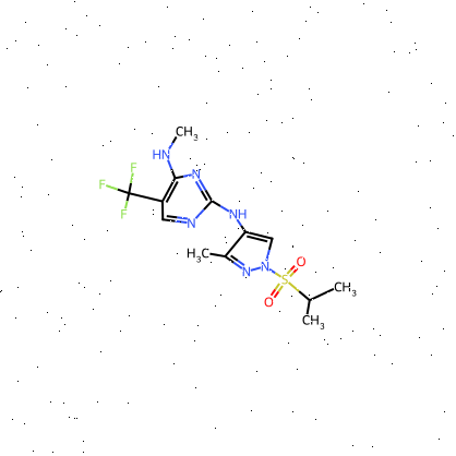 CNc1nc(Nc2cn(S(=O)(=O)C(C)C)nc2C)ncc1C(F)(F)F